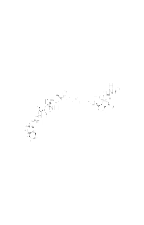 O=C1CCC(N2C(=O)c3cccc(NCCCCCCCCCC(=O)N4CCC(NC5CC(C(=O)NC[C@H](O)CN6CCc7ccccc7C6)CCN5)CC4)c3C2=O)C(=O)N1